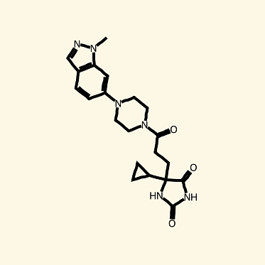 Cn1ncc2ccc(N3CCN(C(=O)CCC4(C5CC5)NC(=O)NC4=O)CC3)cc21